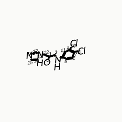 OC(CNc1ccc(Cl)c(Cl)c1)Cn1ccnc1